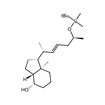 C[C@H](/C=C/C[C@H](C)O[Si](C)(C)C(C)(C)C)[C@H]1CC[C@H]2[C@@H](O)CCC[C@]12C